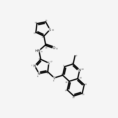 Cc1cc(Sc2nnc(NC(=O)c3cccs3)s2)c2ccccc2n1